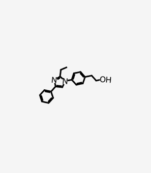 CCc1nc(-c2ccccc2)cn1-c1ccc(CCO)cc1